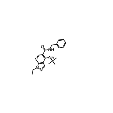 CCn1ncc2c(NC(C)(C)C)c(C(=O)NCc3ccccc3)cnc21